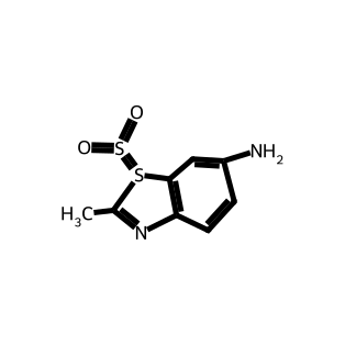 CC1=Nc2ccc(N)cc2S1=S(=O)=O